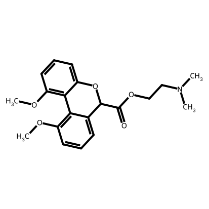 COc1cccc2c1-c1c(OC)cccc1C(C(=O)OCCN(C)C)O2